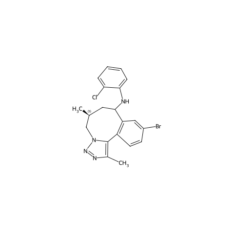 Cc1nnn2c1-c1ccc(Br)cc1C(Nc1ccccc1Cl)C[C@H](C)C2